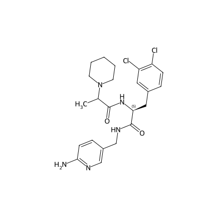 CC(C(=O)N[C@@H](Cc1ccc(Cl)c(Cl)c1)C(=O)NCc1ccc(N)nc1)N1CCCCC1